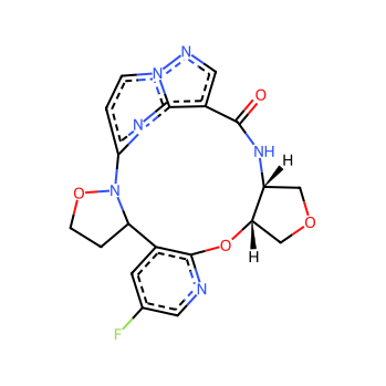 O=C1N[C@@H]2COC[C@@H]2Oc2ncc(F)cc2C2CCON2c2ccn3ncc1c3n2